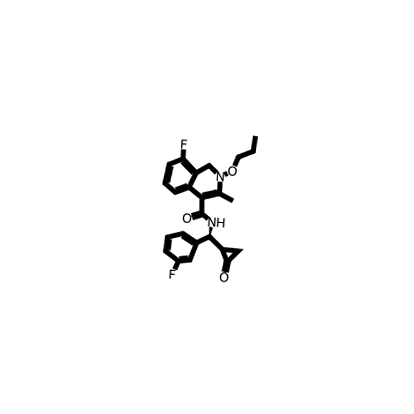 CCCON1Cc2c(F)cccc2C(C(=O)N[C@H](c2cccc(F)c2)C2CC2=O)=C1C